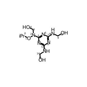 CC(C)ON(CO)c1nc(NCO)nc(NCO)n1